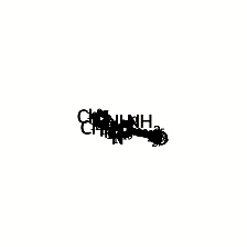 Nc1cc2c(Nc3ccc(Cl)c(Cl)c3F)ncnc2cc1C#CC1C2COCC12